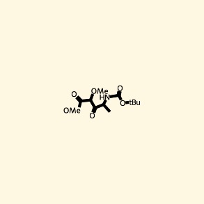 COC(=O)C(OC)C(=O)C(C)NC(=O)OC(C)(C)C